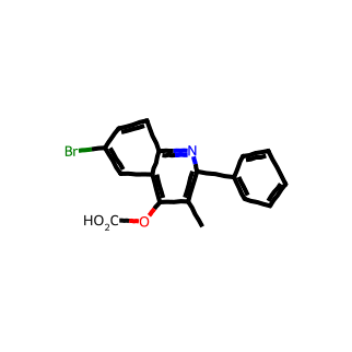 Cc1c(-c2ccccc2)nc2ccc(Br)cc2c1OC(=O)O